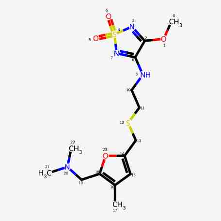 COC1=NS(=O)(=O)N=C1NCCSCc1cc(C)c(CN(C)C)o1